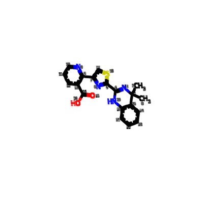 CC1(C)N=C(c2nc(-c3ncccc3C(=O)O)cs2)Nc2ccccc21